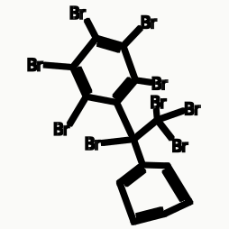 Brc1c(Br)c(Br)c(C(Br)(c2ccccc2)C(Br)(Br)Br)c(Br)c1Br